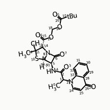 CC(C(=O)N[C@@H]1C(=O)N2[C@@H]1SC(C)(C)[C@@H]2C(=O)OCOC(=O)C(C)(C)C)n1ccc(=O)c2ccccc21